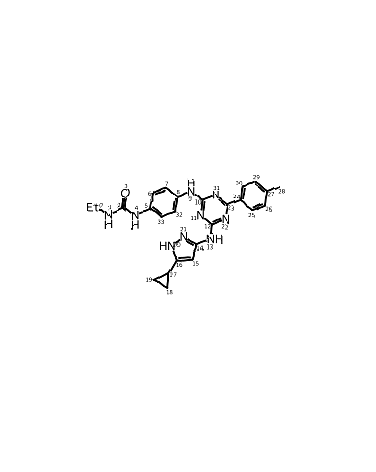 CCNC(=O)Nc1ccc(Nc2nc(Nc3cc(C4CC4)[nH]n3)nc(-c3ccc(C)cc3)n2)cc1